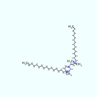 CCCCCCCCCCCCCCCC[N+](C)(C)CCN1CC[N+](C)(CCCCCCCCCCCCCCCC)CC1